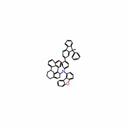 CC1(c2ccccc2)c2ccccc2-c2ccc(-c3ccc(N(c4cccc5oc6ccccc6c45)C4CC=CC=C4c4cccc5cccc(C6CCCCC6)c45)cc3)cc21